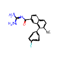 [C-]#[N+]c1ccc2ccc(C(=O)N=C(N)N)cc2c1-c1ccc(F)cc1